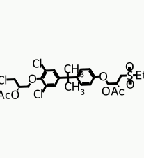 CCS(=O)(=O)C[C@@H](COc1ccc(C(C)(C)c2cc(Cl)c(OC[C@@H](CCl)OC(C)=O)c(Cl)c2)cc1)OC(C)=O